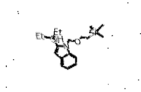 CC[SiH](CC)c1cc2ccccc2n1COCC[Si](C)(C)C